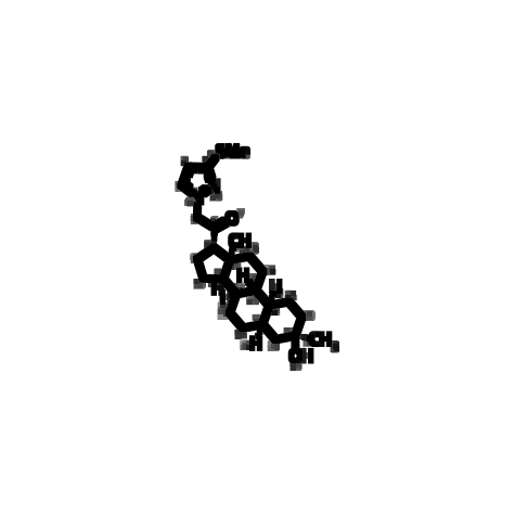 CSc1ccn(CC(=O)[C@H]2CC[C@H]3[C@@H]4CC[C@@H]5C[C@](C)(O)CC[C@@H]5[C@H]4CC[C@]23C)n1